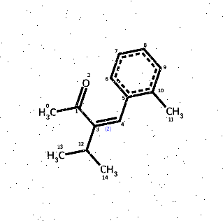 CC(=O)/C(=C\c1ccccc1C)C(C)C